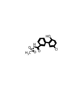 CS(=O)(=O)NC(=O)c1cccc(-c2cc(Cl)ccc2O)c1